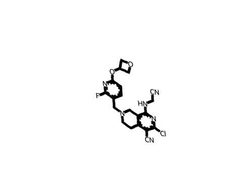 N#CCNc1nc(Cl)c(C#N)c2c1CN(Cc1ccc(OC3COC3)nc1F)CC2